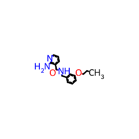 CCCOc1cccc(CNC(=O)c2cccnc2N)c1